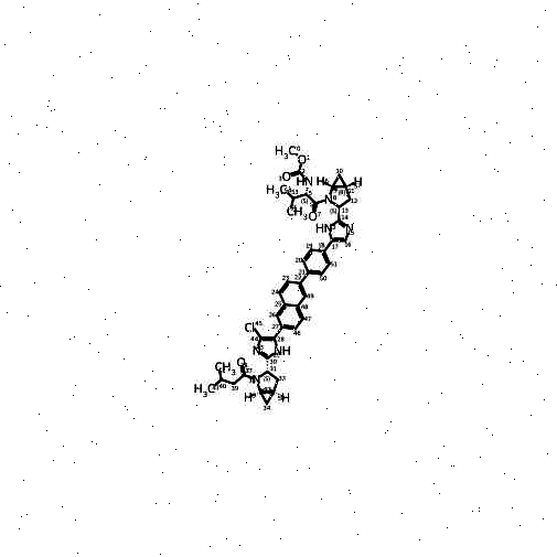 COC(=O)N[C@H](C(=O)N1[C@@H]2C[C@@H]2C[C@H]1c1ncc(-c2ccc(-c3ccc4cc(-c5[nH]c([C@@H]6C[C@H]7C[C@H]7N6C(=O)CC(C)C)nc5Cl)ccc4c3)cc2)[nH]1)C(C)C